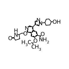 CC(C)Oc1cc2c(OCC3CCC(=O)N3)ncc(-c3cnn(C4CCC(O)CC4)c3)c2cc1C(N)=O